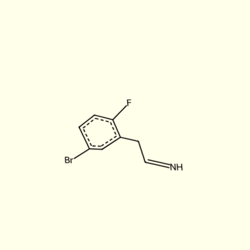 N=CCc1cc(Br)ccc1F